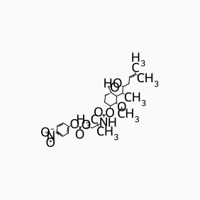 COC1C(OC(=O)NC(C)(C)COC(=O)Oc2ccc([N+](=O)[O-])cc2)CC[C@]2(CO2)C1C(C)[C@H](O)CC=C(C)C